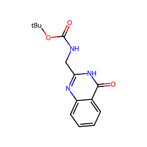 CC(C)(C)OC(=O)NCc1nc2ccccc2c(=O)[nH]1